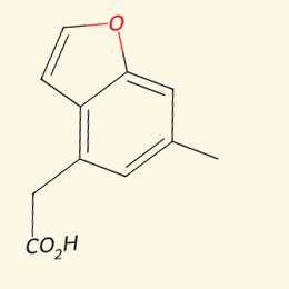 Cc1cc(CC(=O)O)c2ccoc2c1